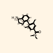 Cc1cc(C(=O)N(C)C)cc(C)c1-c1cccc2c1CC[C@H]2N